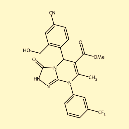 COC(=O)C1=C(C)N(c2cccc(C(F)(F)F)c2)c2n[nH]c(=O)n2C1c1ccc(C#N)cc1CO